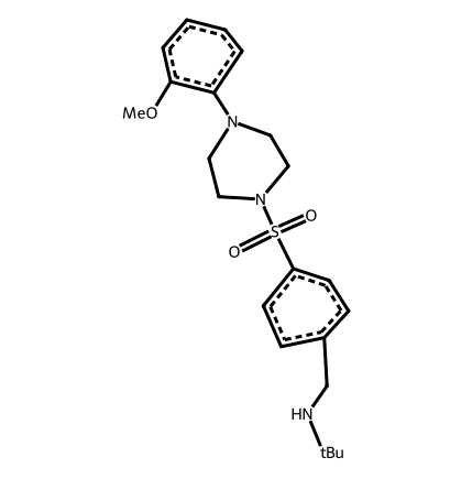 COc1ccccc1N1CCN(S(=O)(=O)c2ccc(CNC(C)(C)C)cc2)CC1